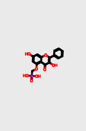 O=c1c(O)c(-c2ccccc2)oc2cc(O)cc(OCP(=O)(O)O)c12